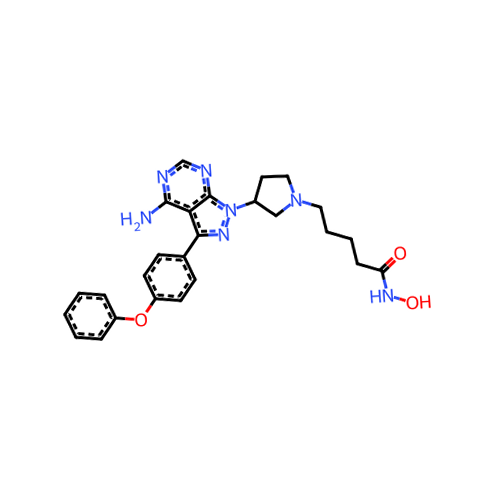 Nc1ncnc2c1c(-c1ccc(Oc3ccccc3)cc1)nn2C1CCN(CCCCC(=O)NO)C1